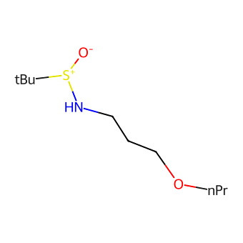 CCCOCCCN[S+]([O-])C(C)(C)C